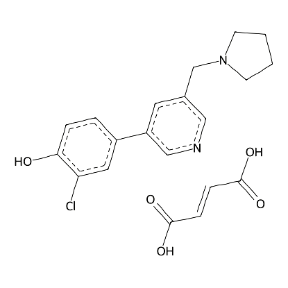 O=C(O)C=CC(=O)O.Oc1ccc(-c2cncc(CN3CCCC3)c2)cc1Cl